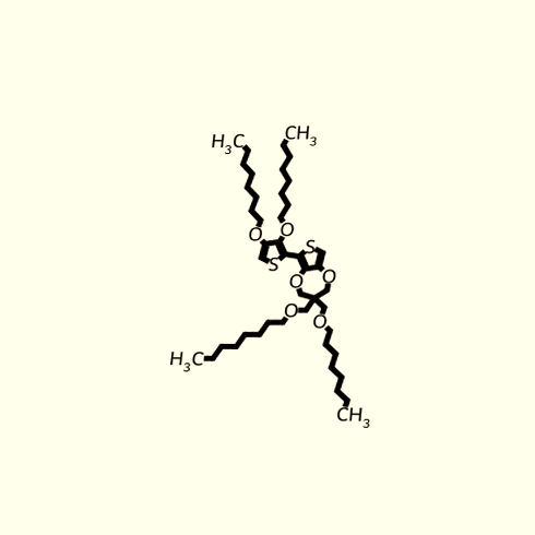 CCCCCCCCOCC1(COCCCCCCCC)COc2csc(-c3scc(OCCCCCCCC)c3OCCCCCCCC)c2OC1